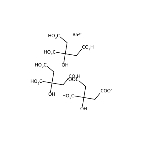 O=C(O)CC(O)(CC(=O)O)C(=O)O.O=C(O)CC(O)(CC(=O)O)C(=O)O.O=C([O-])CC(O)(CC(=O)[O-])C(=O)O.[Ba+2]